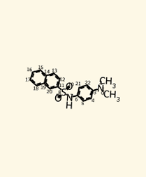 CN(C)c1ccc(NS(=O)(=O)c2ccc3ccccc3c2)cc1